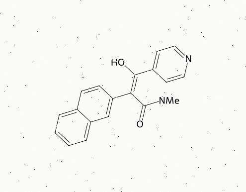 CNC(=O)C(=C(O)c1ccncc1)c1ccc2ccccc2c1